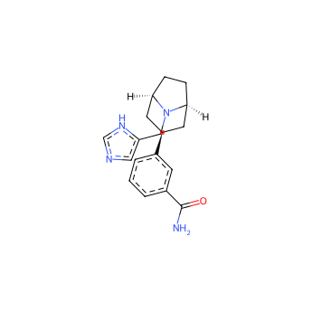 NC(=O)c1cccc([C@H]2C[C@H]3CC[C@@H](C2)N3Cc2cnc[nH]2)c1